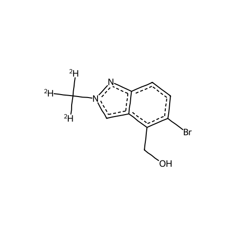 [2H]C([2H])([2H])n1cc2c(CO)c(Br)ccc2n1